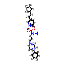 O=C(NCCCN1CCN(c2ccccc2)CC1)Oc1ccc(CCC2CCCC2)cn1